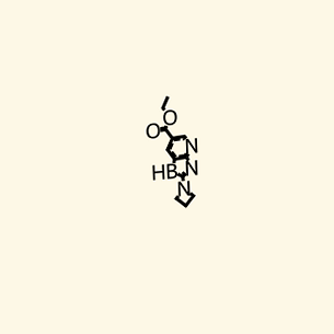 CCOC(=O)c1cnc2c(c1)BC(N1CCC1)=N2